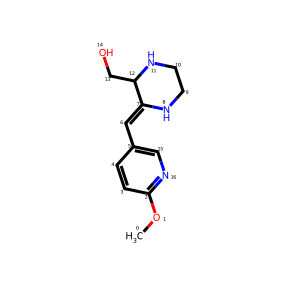 COc1ccc(C=C2NCCNC2CO)cn1